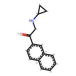 O=C(CNC1CC1)c1ccc2ccccc2c1